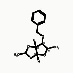 CC1O[C@H]2O[C@H](C)[C@H](OCc3ccccc3)[C@H]2O1